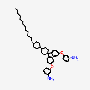 CCCCCCCCCCCCC[C@H]1CC[C@H](C2CCC(c3ccc(Oc4cccc(N)c4)cc3)(c3ccc(Oc4cccc(N)c4)cc3)CC2)CC1